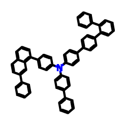 c1ccc(-c2ccc(N(c3ccc(-c4ccc(-c5ccccc5-c5ccccc5)cc4)cc3)c3ccc(-c4cccc5ccc(-c6ccccc6)cc45)cc3)cc2)cc1